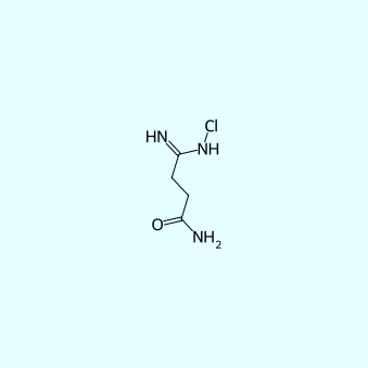 N=C(CCC(N)=O)NCl